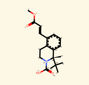 COC(=O)/C=C/c1cccc2c1CCN(C(=O)O)[C@@]2(C)C(C)(C)C